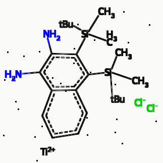 CC(C)(C)[Si](C)(C)c1c(N)c(N)c2ccccc2c1[Si](C)(C)C(C)(C)C.[Cl-].[Cl-].[Ti+2]